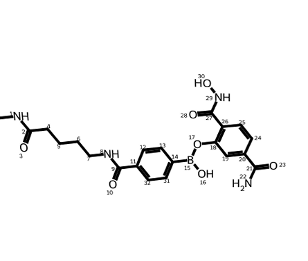 CNC(=O)CCCCNC(=O)c1ccc(B(O)Oc2cc(C(N)=O)ccc2C(=O)NO)cc1